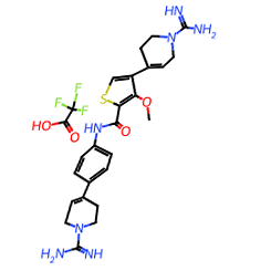 COc1c(C2=CCN(C(=N)N)CC2)csc1C(=O)Nc1ccc(C2=CCN(C(=N)N)CC2)cc1.O=C(O)C(F)(F)F